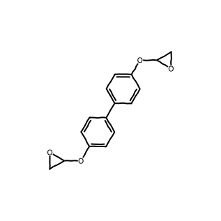 c1cc(-c2ccc(OC3CO3)cc2)ccc1OC1CO1